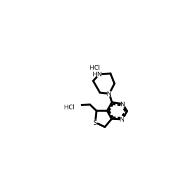 CCC1SCc2ncnc(N3CCNCC3)c21.Cl.Cl